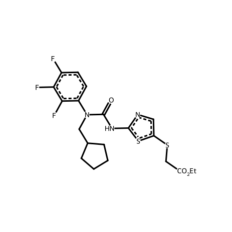 CCOC(=O)CSc1cnc(NC(=O)N(CC2CCCC2)c2ccc(F)c(F)c2F)s1